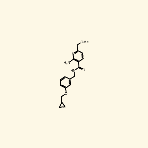 COCc1ccc(C(=O)NCc2cccc(OCC3CC3)c2)c(N)n1